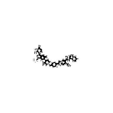 CC(C)Oc1cc2nc(C3CCC(CN4CC[C@H](c5cc6c(cc5F)c(N5CCC(=O)NC5=O)nn6C)C(F)(F)C4)CC3)cn2cc1C(=O)Nc1cnn2cccnc12